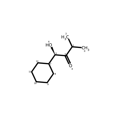 CC(C)C(=O)[C@H](O)C1CCCCC1